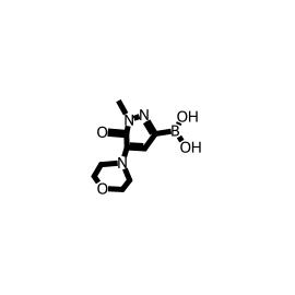 Cn1nc(B(O)O)cc(N2CCOCC2)c1=O